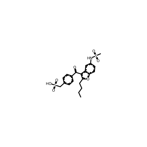 CCCCc1oc2ccc(NS(C)(=O)=O)cc2c1C(=O)c1ccc(CS(=O)(=O)O)cc1